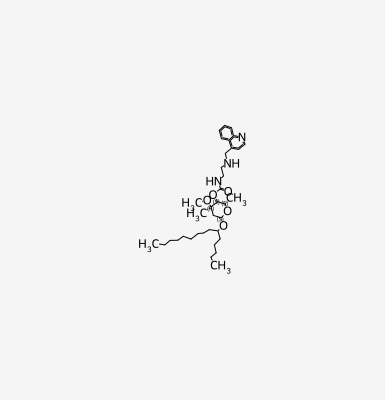 CCCCCCCCCC(CCCCC)O[C@@H]1C[C@@](C)(OC)[C@@H](OC(=O)NCCNCc2ccnc3ccccc23)[C@H](C)O1